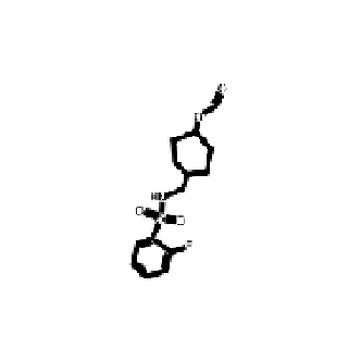 O=COC1CCC(CNS(=O)(=O)c2ccccc2F)CC1